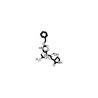 CC(C)C[C@H](NC(=O)OCc1ccccc1)C(=O)N[C@H](CO)CC1CCNC1=O